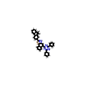 CC1(C)c2ccccc2-c2ccc(-c3nc4cc(-c5nc(-c6ccccc6)nc(-c6ccccc6)n5)c5ccccc5c4s3)cc21